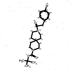 CC(C)(C)OC(=O)N1CCC2(CCN(C(=O)Cc3ccc(Br)cc3)CC2)CC1